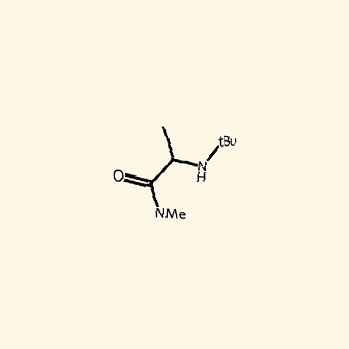 CNC(=O)C(C)NC(C)(C)C